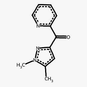 Cc1cc(C(=O)c2ccccn2)nn1C